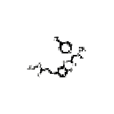 C[C@H]([C@H](C(=O)Nc1cc(CCC(=O)OC(C)(C)C)ccc1F)C1C=CC(Cl)=CC1)C(F)(F)F